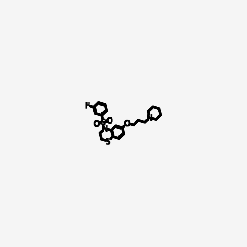 O=S(=O)(c1cccc(F)c1)N1CCSc2ccc(OCCCN3CCCCC3)cc21